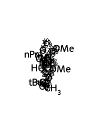 CCCC(CCOCc1ccccc1)Oc1nc(N(Cc2ccc(OC)cc2)Cc2ccc(OC)cc2)c2ncc(C(O)c3ccc(OCCN(C)C(=O)OC(C)(C)C)c(F)c3)n2n1